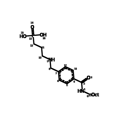 CCCCCCCCNC(=O)c1ccc(CNCCCP(=O)(O)O)cc1